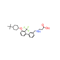 CC(C)(C)C1CCC(Oc2cccc(-c3cccc(CNCCC(=O)O)c3)c2C(F)(F)F)CC1